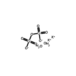 O.O.[K+].[K+].[O]=[Cr](=[O])([O-])[O][Cr](=[O])(=[O])[O-]